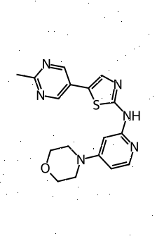 Cc1ncc(-c2cnc(Nc3cc(N4CCOCC4)ccn3)s2)cn1